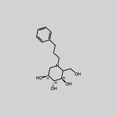 OCC1[C@@H](O)[C@H](O)[C@@H](O)CN1CCCc1ccccc1